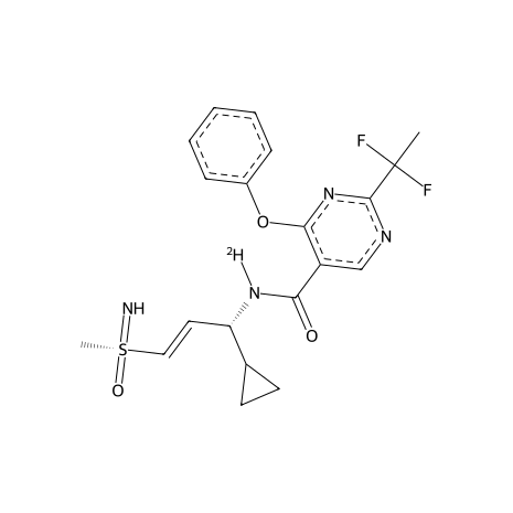 [2H]N(C(=O)c1cnc(C(C)(F)F)nc1Oc1ccccc1)[C@@H](/C=C/[S@](C)(=N)=O)C1CC1